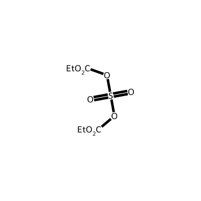 CCOC(=O)OS(=O)(=O)OC(=O)OCC